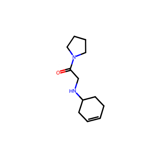 O=C(CNC1CC=CCC1)N1CCCC1